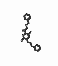 O=c1nc(NCOCc2ccccc2)c(F)cn1CCCc1ccccc1